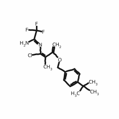 C=C(OCc1ccc(C(C)(C)C)cc1)/C(C)=C(Cl)\N=C(/N)C(F)(F)F